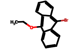 CCOc1c2ccccc2c(Br)c2ccccc12